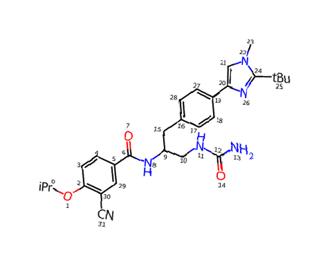 CC(C)Oc1ccc(C(=O)NC(CNC(N)=O)Cc2ccc(-c3cn(C)c(C(C)(C)C)n3)cc2)cc1C#N